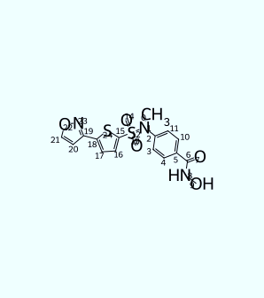 CN(c1ccc(C(=O)NO)cc1)S(=O)(=O)c1ccc(-c2ccon2)s1